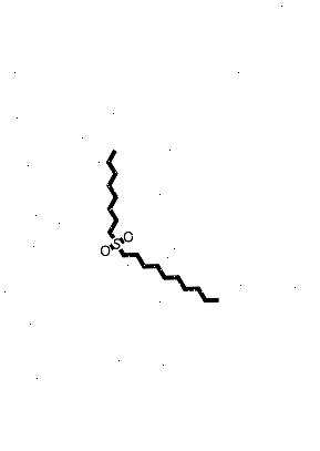 CCCCCCCCCCS(=O)(=O)CCCCCCCC